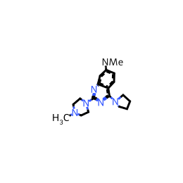 CNc1ccc2c(N3CCCC3)nc(N3CCN(C)CC3)nc2c1